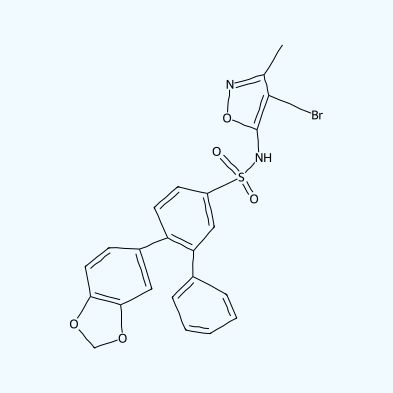 Cc1noc(NS(=O)(=O)c2ccc(-c3ccc4c(c3)OCO4)c(-c3ccccc3)c2)c1Br